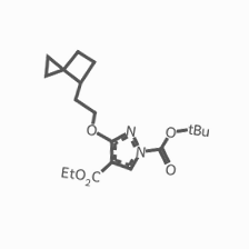 CCOC(=O)c1cn(C(=O)OC(C)(C)C)nc1OCCC1CCC12CC2